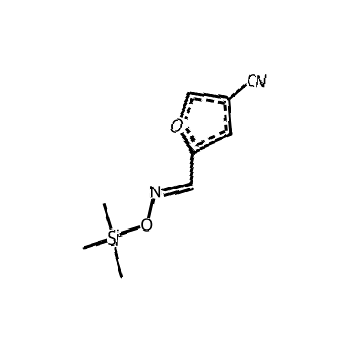 C[Si](C)(C)O/N=C/c1cc(C#N)co1